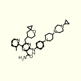 Cc1cccnc1-c1nc(C(N)=O)c(Nc2ccc(N3CCC(N4CCN(C5CC5)CC4)CC3)cc2)nc1CC1CCOC2(CC2)C1